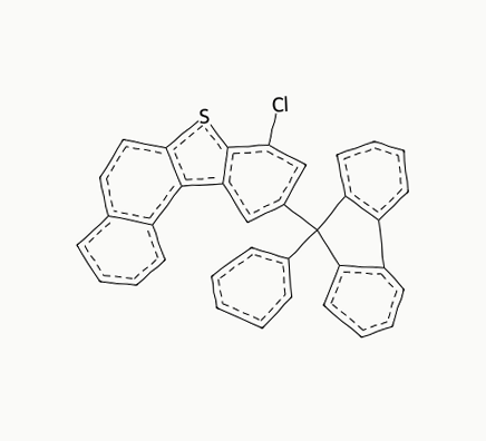 Clc1cc(C2(c3ccccc3)c3ccccc3-c3ccccc32)cc2c1sc1ccc3ccccc3c12